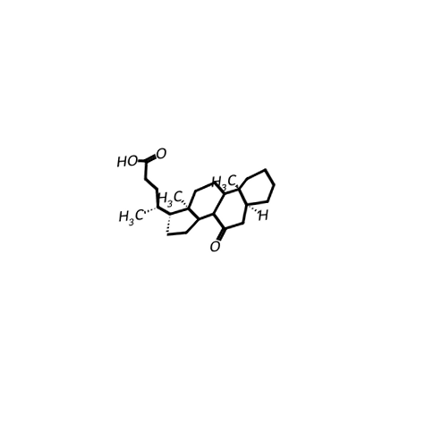 C[C@H](CCC(=O)O)[C@H]1CCC2C3C(=O)C[C@@H]4CCCC[C@]4(C)C3CC[C@@]21C